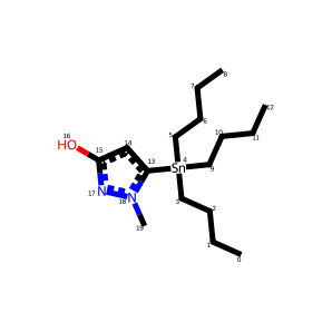 CCC[CH2][Sn]([CH2]CCC)([CH2]CCC)[c]1cc(O)nn1C